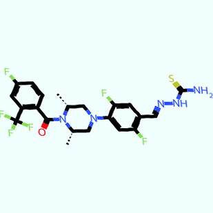 C[C@@H]1CN(c2cc(F)c(/C=N/NC(N)=S)cc2F)C[C@H](C)N1C(=O)c1ccc(F)cc1C(F)(F)F